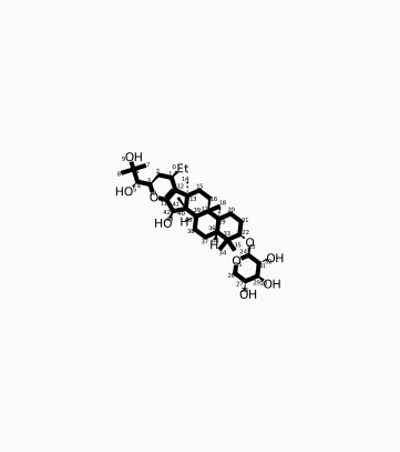 CC[C@@H]1C[C@H]([C@H](O)C(C)(C)O)OC2=C1[C@@]1(C)CC[C@@]34C[C@@]35CC[C@H](O[C@@H]3OC[C@@H](O)[C@H](O)[C@H]3O)C(C)(C)[C@@H]5CC[C@H]4[C@]1(C)[C@H]2O